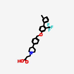 Cc1cccc(-c2ccc(OCc3ccc(C4CCN(CCC(=O)O)CC4)cc3)cc2C(F)(F)F)c1